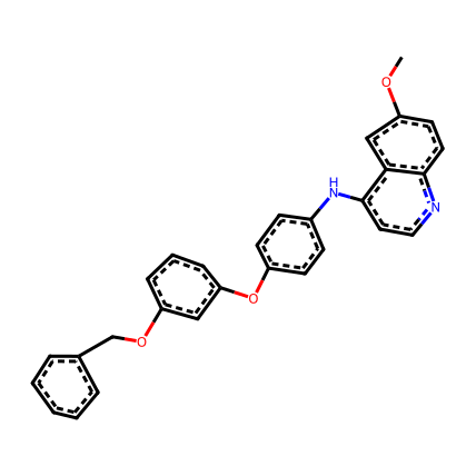 COc1ccc2nccc(Nc3ccc(Oc4cccc(OCc5ccccc5)c4)cc3)c2c1